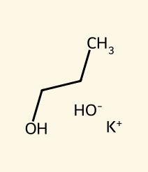 CCCO.[K+].[OH-]